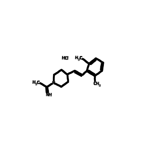 CC(=N)N1CCC(C=Cc2c(C)cccc2C)CC1.Cl